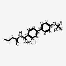 CCCC(=O)Nc1n[nH]c2cc(-c3ccc(OC(F)(F)F)cc3)ccc12